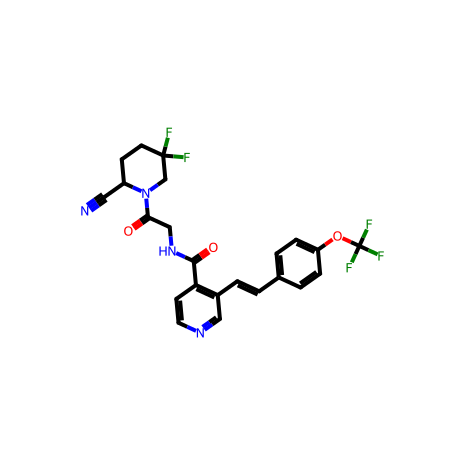 N#CC1CCC(F)(F)CN1C(=O)CNC(=O)c1ccncc1C=Cc1ccc(OC(F)(F)F)cc1